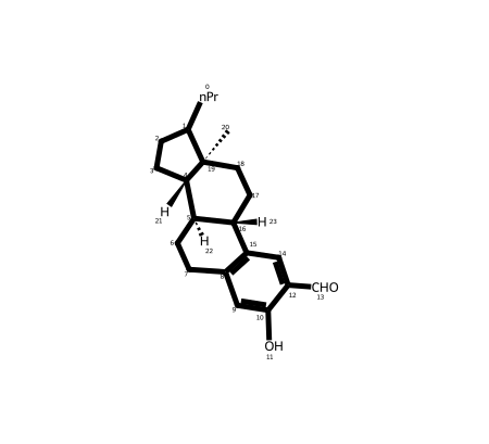 CCCC1CC[C@H]2[C@@H]3CCc4cc(O)c(C=O)cc4[C@H]3CC[C@]12C